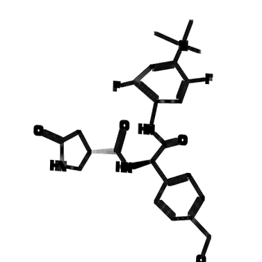 COCc1ccc([C@@H](NC(=O)[C@@H]2CNC(=O)C2)C(=O)Nc2cc(F)c([Si](C)(C)C)cc2F)cc1